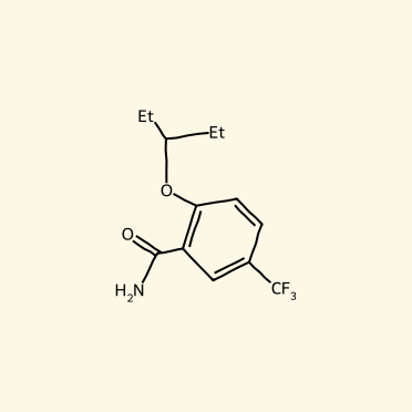 CCC(CC)Oc1ccc(C(F)(F)F)cc1C(N)=O